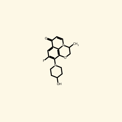 CC1COc2c(N3CCC(O)CC3)c(F)cc3c(=O)ccn1c23